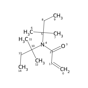 C=[C]C(=O)N(C(C)(C)CC)C(C)(C)CC